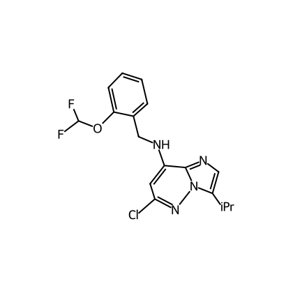 CC(C)c1cnc2c(NCc3ccccc3OC(F)F)cc(Cl)nn12